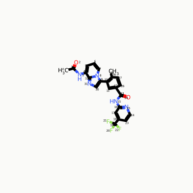 CC(=O)Nc1cccn2c(-c3cc(C(=O)Nc4cc(C(F)(F)F)ccn4)ccc3C)cnc12